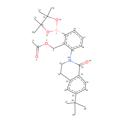 CC(=O)OCc1c(B2OC(C)(C)C(C)(C)O2)cccc1N1CCc2cc(C(C)(C)C)ccc2C1=O